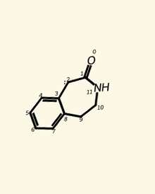 O=C1[C]c2ccccc2CCN1